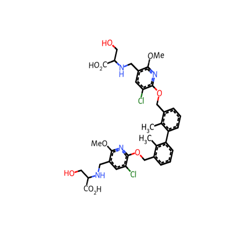 COc1nc(OCc2cccc(-c3cccc(COc4nc(OC)c(CNC(CO)C(=O)O)cc4Cl)c3C)c2C)c(Cl)cc1CNC(CO)C(=O)O